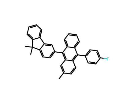 Cc1ccc2c(-c3ccc(F)cc3)c3ccccc3c(-c3ccc4c(c3)-c3ccccc3C4(C)C)c2c1